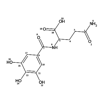 NC(=O)CCC(NC(=O)c1cc(O)c(O)c(O)c1)C(=O)O